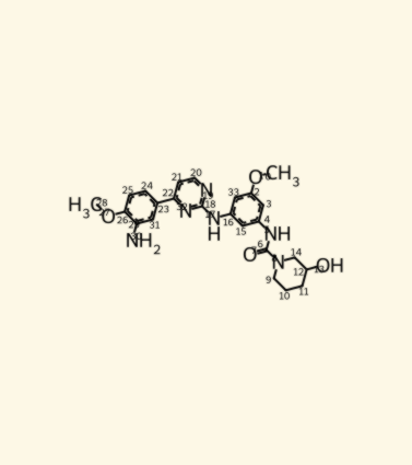 COc1cc(NC(=O)N2CCCC(O)C2)cc(Nc2nccc(-c3ccc(OC)c(N)c3)n2)c1